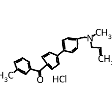 C=CCN(C)Cc1ccc(-c2ccc(C(=O)c3cccc(C)c3)cc2)cc1.Cl